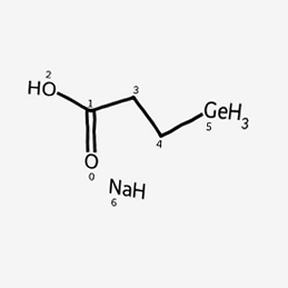 O=C(O)C[CH2][GeH3].[NaH]